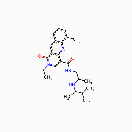 CCn1cc(C(=O)NCC(C)NC(C)C(C)C)c2nc3c(C)cccc3cc2c1=O